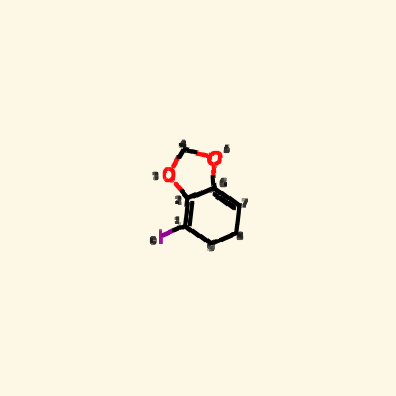 IC1=C2OCOC2=CCC1